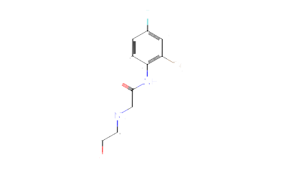 O=C(CNCCO)Nc1ccc(F)cc1Br